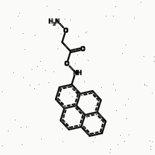 NOCC(=O)ONc1ccc2ccc3cccc4ccc1c2c34